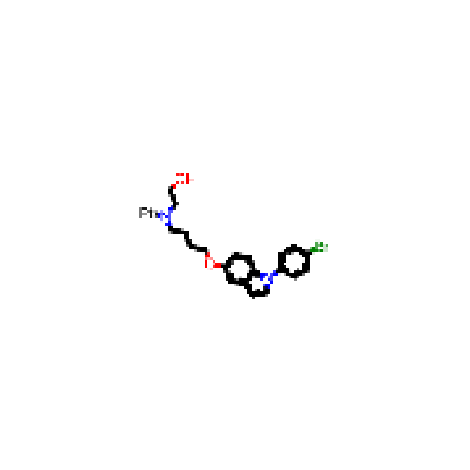 CCN(CCO)CCCCOc1ccc2c(ccn2-c2ccc(Br)cc2)c1